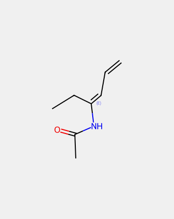 C=C/C=C(\CC)NC(C)=O